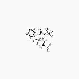 CC(C)N1CCC(Cc2ccccc2)(CN(C)CC(=O)N(C)C)CC1